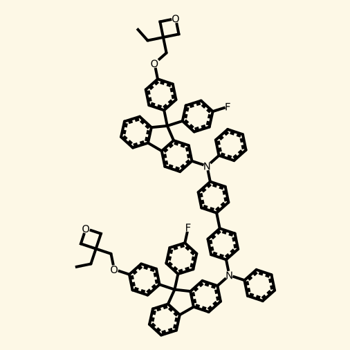 CCC1(COc2ccc(C3(c4ccc(F)cc4)c4ccccc4-c4ccc(N(c5ccccc5)c5ccc(-c6ccc(N(c7ccccc7)c7ccc8c(c7)C(c7ccc(F)cc7)(c7ccc(OCC9(CC)COC9)cc7)c7ccccc7-8)cc6)cc5)cc43)cc2)COC1